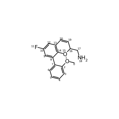 COc1ccccc1-c1cc(F)cc2c1OC(CN)C=C2